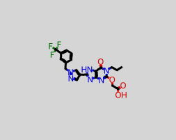 CCCn1c(OCC(=O)O)nc2nc(-c3cnn(Cc4cccc(C(F)(F)F)c4)c3)[nH]c2c1=O